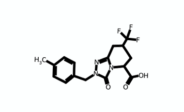 Cc1ccc(Cn2nc3n(c2=O)C(C(=O)O)CC(C(F)(F)F)C3)cc1